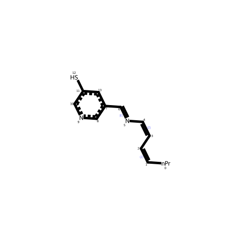 CCC\C=C/C=C\N=C\c1cncc(S)c1